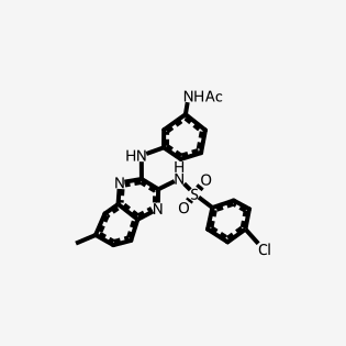 CC(=O)Nc1cccc(Nc2nc3cc(C)ccc3nc2NS(=O)(=O)c2ccc(Cl)cc2)c1